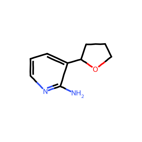 Nc1ncccc1C1CCCO1